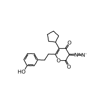 [N-]=[N+]=C1C(=O)OC(CCc2cccc(O)c2)=C(C2CCCC2)C1=O